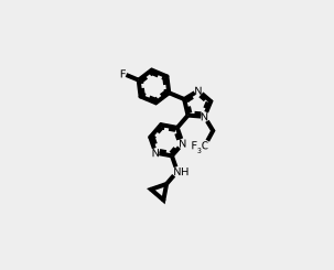 Fc1ccc(-c2ncn(CC(F)(F)F)c2-c2ccnc(NC3CC3)n2)cc1